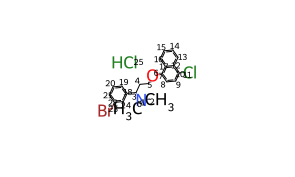 CN(C)C(CCOc1ccc(Cl)c2ccccc12)c1cccc(Br)c1.Cl